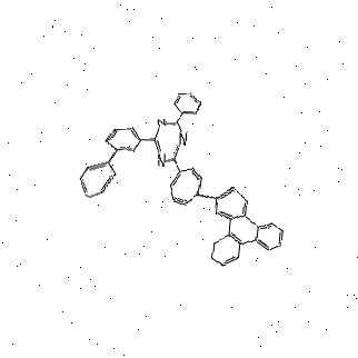 C1#CC(c2ccc3c(c2)c2c(c4ccccc43)C=CCC2)C=CC(c2nc(-c3ccccc3)nc(-c3cccc(-c4ccccc4)c3)n2)=C1